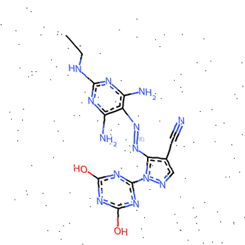 CCNc1nc(N)c(/N=N/c2c(C#N)cnn2-c2nc(O)nc(O)n2)c(N)n1